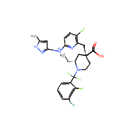 CC[C@@H]1C[C@](Cc2nc(Nc3cc(C)[nH]n3)ccc2F)(C(=O)O)CCN1C(F)(F)c1cccc(Cl)c1F